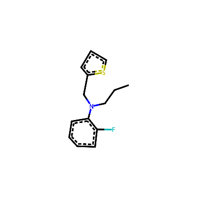 CCCN(Cc1cccs1)c1ccccc1F